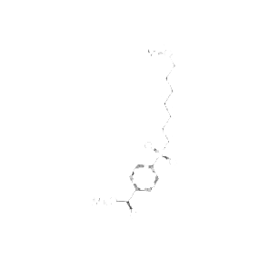 COCCCCCCCS(=O)(=O)c1ccc(C(=O)OC)cc1